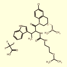 CC(C)OCCCNC(=O)NC(C(=O)N1C[C@@H](CN(C)C)Cc2cc(Cl)ccc21)C(C)c1c[nH]c2ccccc12.O=C(O)C(F)(F)F